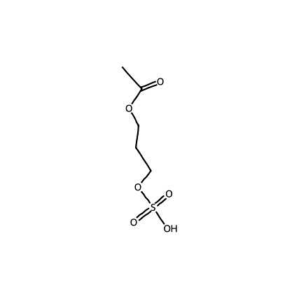 CC(=O)OCCCOS(=O)(=O)O